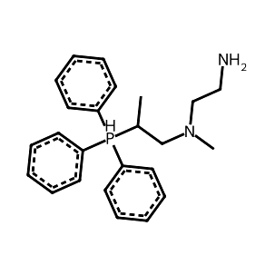 CC(CN(C)CCN)[PH](c1ccccc1)(c1ccccc1)c1ccccc1